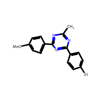 CCc1ccc(-c2nc(C)nc(-c3ccc(OC)cc3)n2)cc1